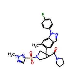 Cc1cc2c(cnn2-c2ccc(F)cc2)cc1C12CN(S(=O)(=O)c3cnn(C)n3)CC1C2C(=O)N1CCCC1